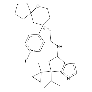 CC(C)C1(C2(C)CC2)CC(NCC[C@@]2(c3ccc(F)cc3)CCOC3(CCCC3)C2)c2ccnn21